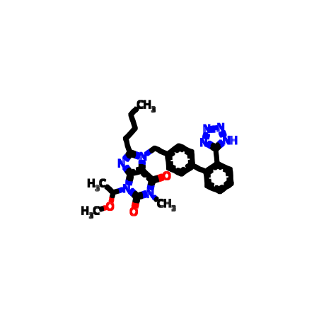 CCCCc1nc2c(c(=O)n(C)c(=O)n2C(C)OC)n1Cc1ccc(-c2ccccc2-c2nnn[nH]2)cc1